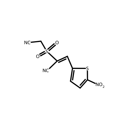 N#CCS(=O)(=O)/C(C#N)=C/c1ccc([N+](=O)[O-])s1